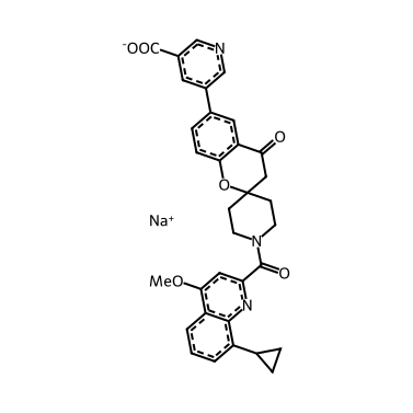 COc1cc(C(=O)N2CCC3(CC2)CC(=O)c2cc(-c4cncc(C(=O)[O-])c4)ccc2O3)nc2c(C3CC3)cccc12.[Na+]